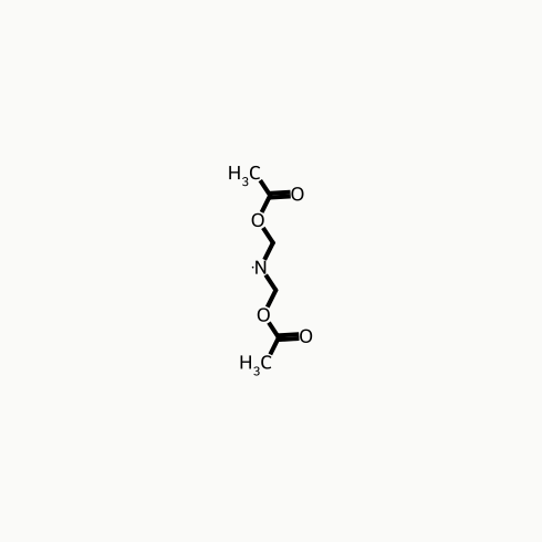 CC(=O)OC[N]COC(C)=O